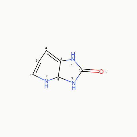 O=C1NC2=CC=CNC2N1